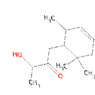 CC(O)C(=O)CC1C(C)C=CCC1(C)C